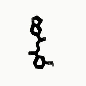 Cc1cccc(C(=O)CCC(=O)c2ccc3sccc3c2)c1